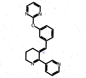 C(=C1/CCCN=C1c1cccnc1)/c1cccc(Oc2ncccn2)c1